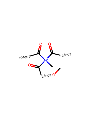 CCCCCCCC(=O)[N+](C)(C(=O)CCCCCCC)C(=O)CCCCCCC.C[O-]